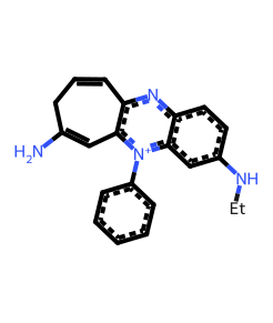 CCNc1ccc2nc3c([n+](-c4ccccc4)c2c1)C=C(N)CC=C3